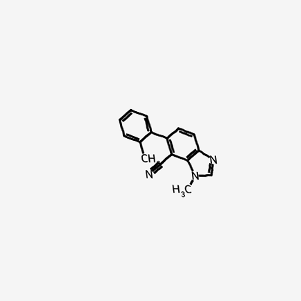 Cc1ccccc1-c1ccc2ncn(C)c2c1C#N